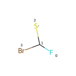 FC([S])Br